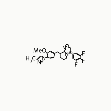 COc1cc(CC2CCCN3C2=NOC[C@@H]3c2cc(F)c(F)c(F)c2)ccc1-n1cnc(C)c1